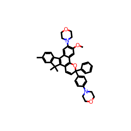 COc1cc2c3c(c4c(c2cc1N1CCOCC1)-c1ccc(C)cc1C4(C)C)C=CC(c1ccccc1)(c1ccc(N2CCOCC2)cc1)O3